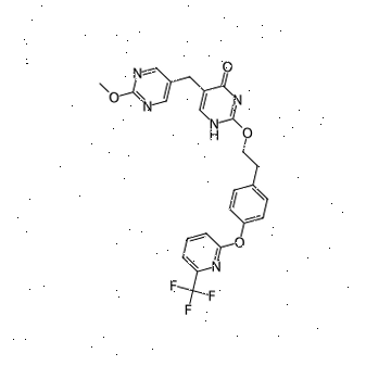 COc1ncc(Cc2c[nH]c(OCCc3ccc(Oc4cccc(C(F)(F)F)n4)cc3)nc2=O)cn1